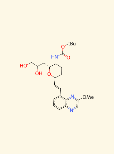 COc1cnc2cccc(/C=C/[C@@H]3CC[C@@H](NC(=O)OC(C)(C)C)[C@@H](CC(O)CO)O3)c2n1